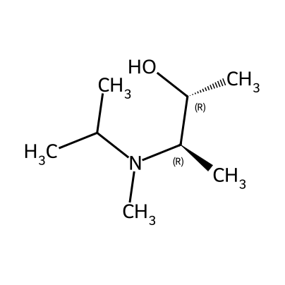 CC(C)N(C)[C@H](C)[C@@H](C)O